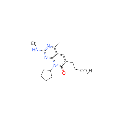 CCNc1nc(C)c2cc(CCC(=O)O)c(=O)n(C3CCCC3)c2n1